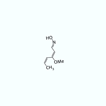 C\C=C/C(=C\C=N\O)OC